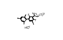 CCOC(=O)C[C@H](N)c1c(F)c(C)cc(-c2c(C)cc(C)cc2C)c1F.Cl